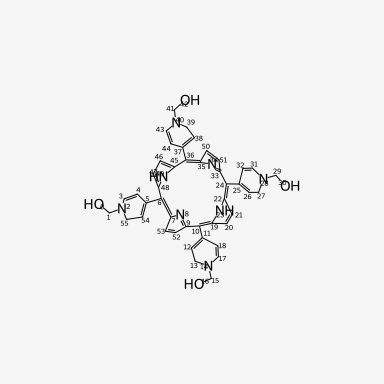 OCN1C=CC(c2c3nc(c(C4=CCN(CO)C=C4)c4ccc([nH]4)c(C4=CCN(CO)C=C4)c4nc(c(C5=CCN(CO)C=C5)c5ccc2[nH]5)C=C4)C=C3)=CC1